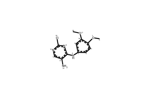 COc1ccc(Nc2nc(Cl)ncc2N)cc1OC